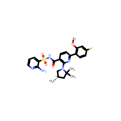 CCOc1cc(F)ccc1-c1ccc(C(=O)NS(=O)(=O)c2cccnc2N)c(N2C[C@@H](C)CC2(C)C)n1